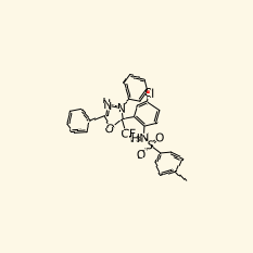 Cc1ccc(S(=O)(=O)Nc2ccc(Cl)cc2C2(C(F)(F)F)OC(c3ccccc3)=NN2c2ccccc2)cc1